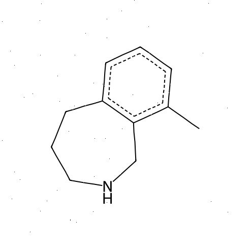 Cc1cccc2c1CNCCC2